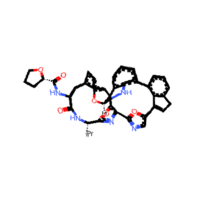 CC(C)[C@@H]1NC(=O)C(NC(=O)[C@@H]2CCCO2)Cc2ccc3c(c2)C24c5cccc(c5N[C@H]2O3)-c2cccc3c2C(=CC3)c2cnc(o2)-c2nc1oc24